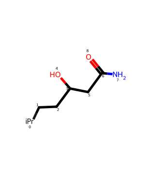 CC(C)CCC(O)CC(N)=O